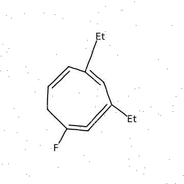 CCC1=C=C(F)C/C=C\C(CC)=C/1